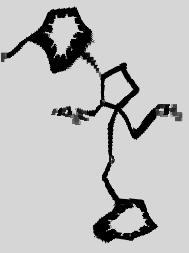 C=C[C@@]1(COCc2ccccc2)CC[C@@H](c2cccc(F)c2)N1C(=O)O